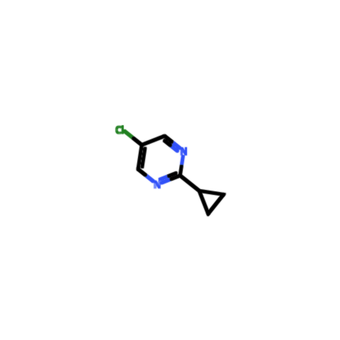 Clc1cnc(C2CC2)nc1